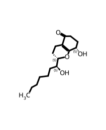 CCCCCC[C@H](O)[C@@H]1CCC2=C(O1)[C@@H](O)CCC2=O